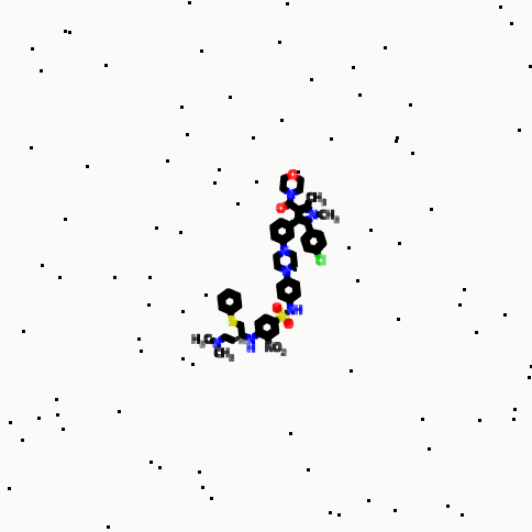 Cc1c(C(=O)N2CCOCC2)c(-c2cccc(N3CCN(c4ccc(NS(=O)(=O)c5ccc(N[C@H](CCN(C)C)CSc6ccccc6)c([N+](=O)[O-])c5)cc4)CC3)c2)c(-c2ccc(Cl)cc2)n1C